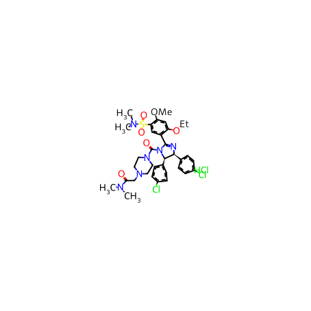 CCOc1cc(OC)c(S(=O)(=O)N(C)C)cc1C1=N[C@@H](c2ccc(Cl)cc2)[C@@H](c2ccc(Cl)cc2)N1C(=O)N1CCN(CC(=O)N(C)C)CC1.Cl